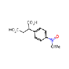 CO[N+](=O)c1ccc(C(CC(=O)O)C(=O)O)cc1